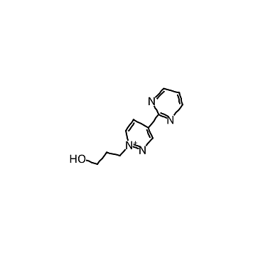 OCCC[n+]1ccc(-c2ncccn2)cn1